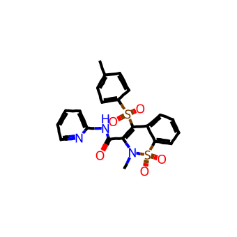 Cc1ccc(S(=O)(=O)C2=C(C(=O)Nc3ccccn3)N(C)S(=O)(=O)c3ccccc32)cc1